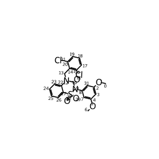 COc1cc(OC)cc(N2C(=O)N(Cc3c(Cl)cccc3Cl)c3ccccc3S2(=O)=O)c1